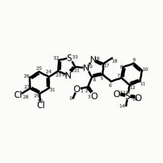 COC(=O)c1c(Cc2ccccc2S(C)(=O)=O)c(C)nn1-c1nc(-c2ccc(Cl)c(Cl)c2)cs1